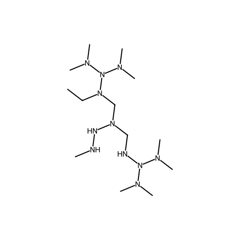 CCN(CN(CNN(N(C)C)N(C)C)NNC)N(N(C)C)N(C)C